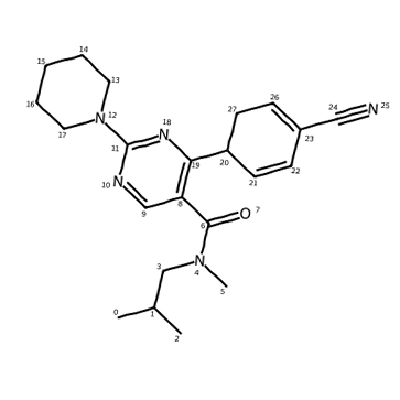 CC(C)CN(C)C(=O)c1cnc(N2CCCCC2)nc1C1C=CC(C#N)=CC1